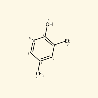 CCc1cc(C(F)(F)F)cnc1O